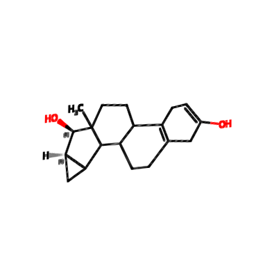 CC12CCC3C4=C(CCC3C1C1C[C@H]1[C@H]2O)CC(O)=CC4